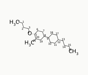 CCCCO[C@@H]1CCC(C2CCC(CCCC)CC2)C[C@H]1C